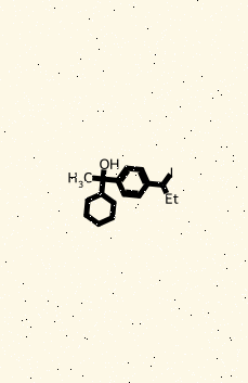 CCC(I)c1ccc(C(C)(O)C2CCCCC2)cc1